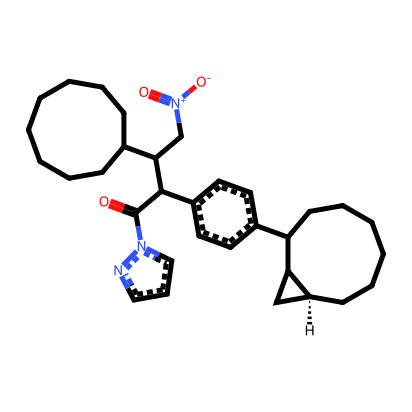 O=C(C(c1ccc(C2CCCCCC[C@H]3CC23)cc1)C(C[N+](=O)[O-])C1CCCCCCCC1)n1cccn1